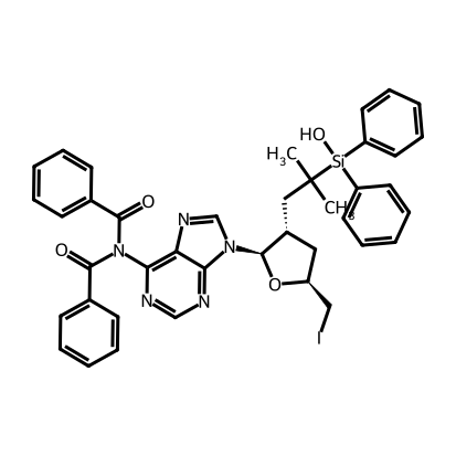 CC(C)(C[C@@H]1C[C@@H](CI)O[C@H]1n1cnc2c(N(C(=O)c3ccccc3)C(=O)c3ccccc3)ncnc21)[Si](O)(c1ccccc1)c1ccccc1